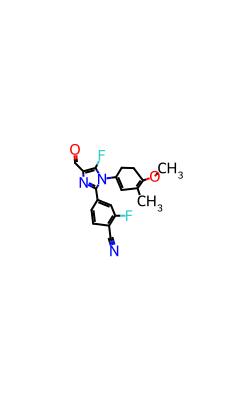 COC1=C(C)C=C(n2c(-c3ccc(C#N)c(F)c3)nc(C=O)c2F)CC1